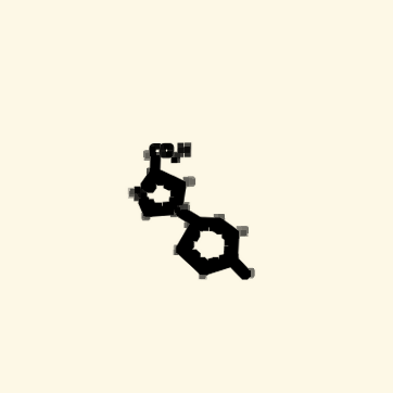 Cc1ccc(-n2cnc(C(=O)O)c2)cc1